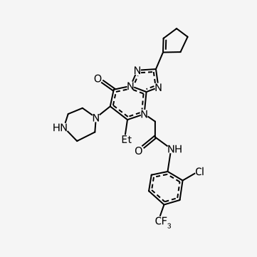 CCc1c(N2CCNCC2)c(=O)n2nc(C3=CCCC3)nc2n1CC(=O)Nc1ccc(C(F)(F)F)cc1Cl